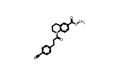 COC(=O)c1ccc2c(c1)CCCN2C(=O)CCc1ccc(C#N)cc1